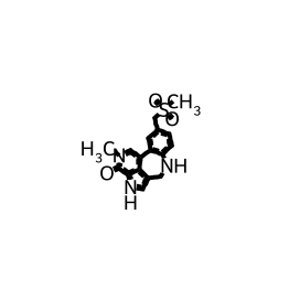 Cn1cc2c3c(c[nH]c3c1=O)CNc1ccc(CS(C)(=O)=O)cc1-2